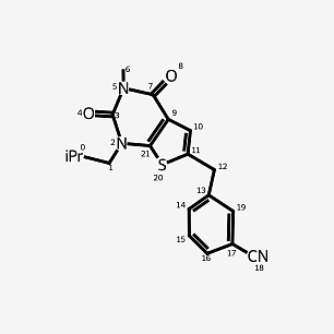 CC(C)Cn1c(=O)n(C)c(=O)c2cc(Cc3cccc(C#N)c3)sc21